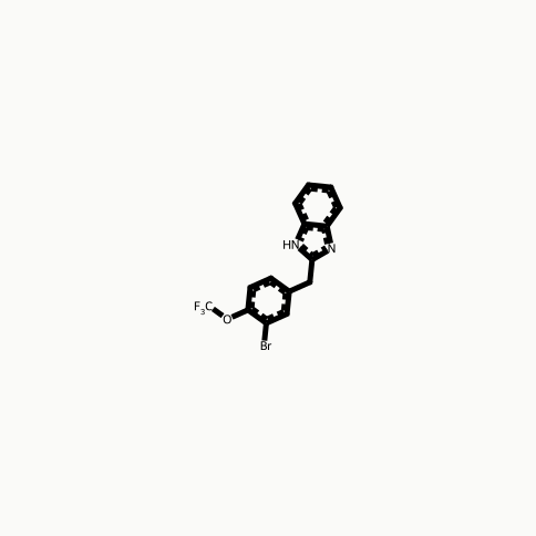 FC(F)(F)Oc1ccc(Cc2nc3ccccc3[nH]2)cc1Br